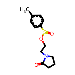 Cc1ccc(S(=O)OCCN2CCCC2=O)cc1